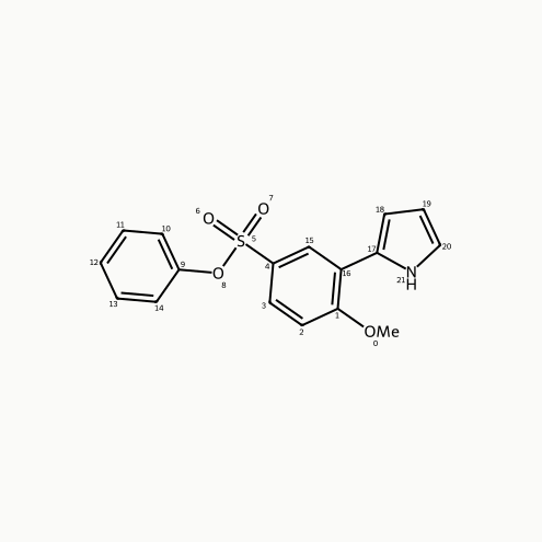 COc1ccc(S(=O)(=O)Oc2ccccc2)cc1-c1ccc[nH]1